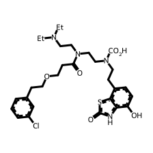 CCN(CC)CCN(CCN(CCc1ccc(O)c2[nH]c(=O)sc12)C(=O)O)C(=O)CCOCCc1cccc(Cl)c1